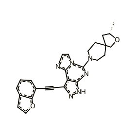 C[C@H]1CC2(CCN(c3nc4[nH]nc(C#Cc5cccc6ccoc56)c4c4nccn34)CC2)CO1